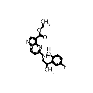 CCOC(=O)c1cnn2ccc(NCC(C)c3cc(F)ccc3O)nc12